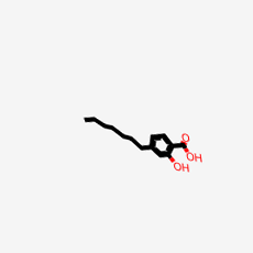 CCCCCCCc1ccc(C(=O)O)c(O)c1